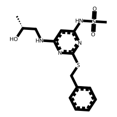 C[C@@H](O)CNc1cc(NS(C)(=O)=O)nc(SCc2ccccc2)n1